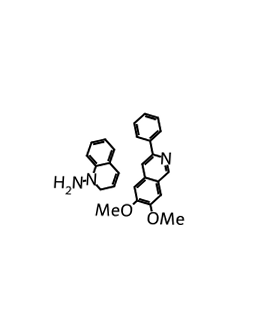 COc1cc2cnc(-c3ccccc3)cc2cc1OC.NN1CC=Cc2ccccc21